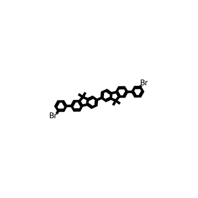 CC1(C)c2cc(-c3cccc(Br)c3)ccc2-c2ccc(-c3ccc4c(c3)C(C)(C)c3cc(-c5cccc(Br)c5)ccc3-4)cc21